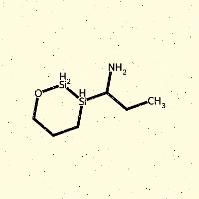 CCC(N)[SiH]1CCCO[SiH2]1